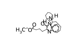 CCOC(=O)CCCc1nc2ccccc2n([C@@H]2C[C@@H]3CCC[C@H]2N3C2CC3CCCCC(C3)C2)c1=O